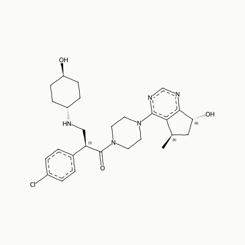 C[C@@H]1C[C@@H](O)c2ncnc(N3CCN(C(=O)[C@H](CN[C@H]4CC[C@H](O)CC4)c4ccc(Cl)cc4)CC3)c21